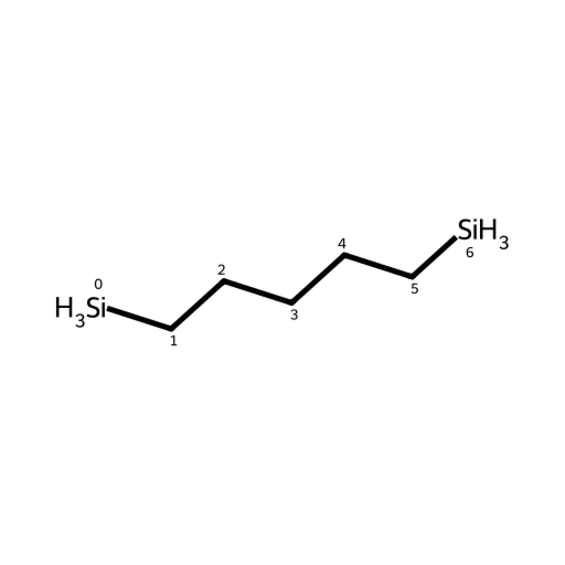 [SiH3]CCCCC[SiH3]